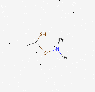 CC(S)SN(C(C)C)C(C)C